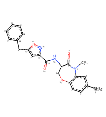 CC(=O)Nc1ccc2c(c1)N(C)C(=O)C(NC(=O)c1cc(Cc3ccccc3)on1)CO2